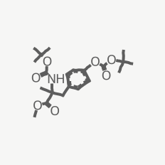 COC(=O)C(C)(Cc1ccc(OC(=O)OC(C)(C)C)cc1)NC(=O)OC(C)(C)C